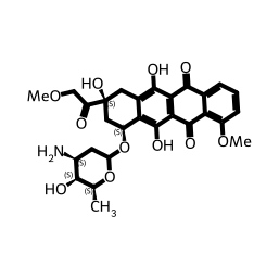 COCC(=O)[C@]1(O)Cc2c(O)c3c(c(O)c2[C@@H](OC2C[C@H](N)[C@H](O)[C@H](C)O2)C1)C(=O)c1c(OC)cccc1C3=O